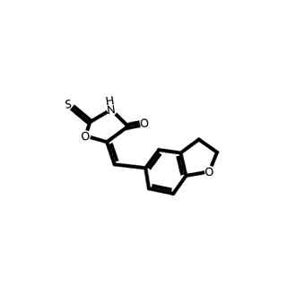 O=C1NC(=S)OC1=Cc1ccc2c(c1)CCO2